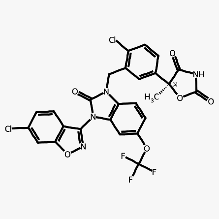 C[C@@]1(c2ccc(Cl)c(Cn3c(=O)n(-c4noc5cc(Cl)ccc45)c4cc(OC(F)(F)F)ccc43)c2)OC(=O)NC1=O